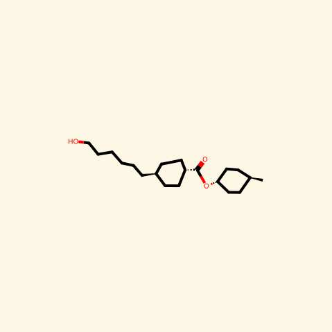 C[C@H]1CC[C@H](OC(=O)[C@H]2CC[C@H](CCCCCCO)CC2)CC1